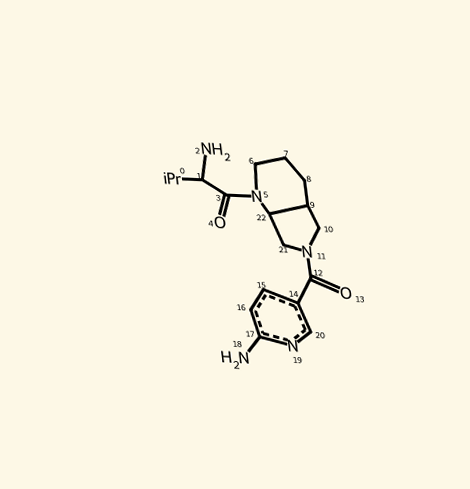 CC(C)C(N)C(=O)N1CCCC2CN(C(=O)c3ccc(N)nc3)CC21